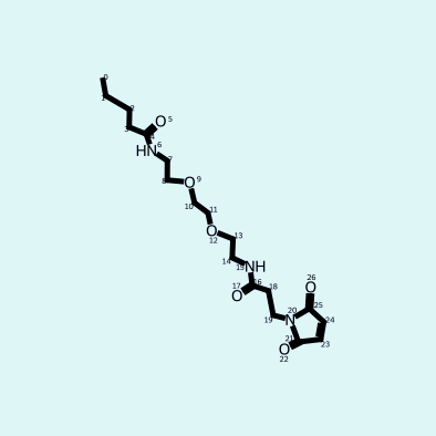 CCCCC(=O)NCCOCCOCCNC(=O)CCN1C(=O)C=CC1=O